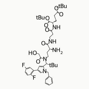 CC(C)(C)OC(=O)CC[C@@H](NC(=O)CCNC(=O)[C@@H](N)CCN(C(=O)CO)C(c1cc(-c2cc(F)ccc2F)cn1Cc1ccccc1)C(C)(C)C)C(=O)OC(C)(C)C